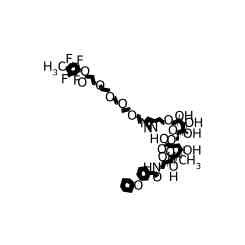 Cc1c(F)c(F)c(OC(=O)CCOCCOCCOCCOCCn2cc(CCO[C@@H]3O[C@H](CO[C@]4(C(=O)O)C[C@H](O)[C@@H](C)[C@H]([C@H](O)[C@H](O)CNC(=O)c5cccc(Oc6ccccc6)c5)O4)[C@H](O)[C@H](O)[C@H]3O)nn2)c(F)c1F